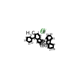 Cc1ccc2c(c1-c1ccccc1)C=C(C(C)(C)C)[CH]2[Zr+2]1[c]2cccc3c2[SiH]1c1ccccc1-3.[Cl-].[Cl-]